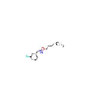 CCCCCO/N=[C]/c1cccc(F)c1